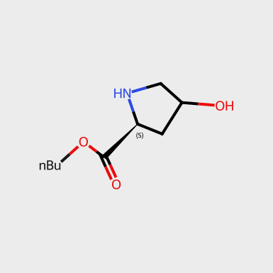 CCCCOC(=O)[C@@H]1CC(O)CN1